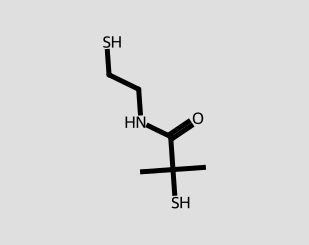 CC(C)(S)C(=O)NCCS